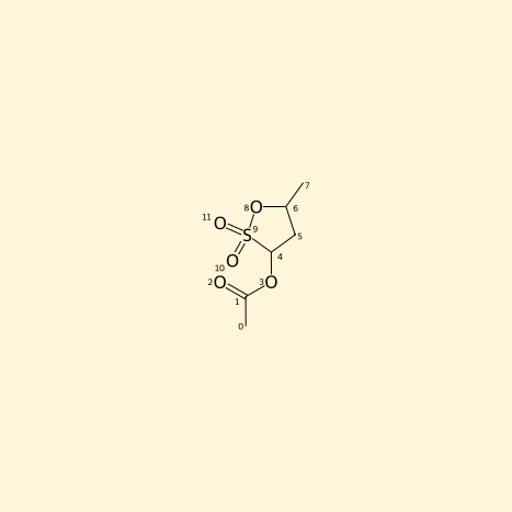 CC(=O)OC1CC(C)OS1(=O)=O